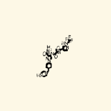 NC(=O)c1nn(C2CCC(CN3CCNCC3)CC2)cc1NC(=O)c1coc(-c2ccnc(NCC(F)(F)F)c2)n1